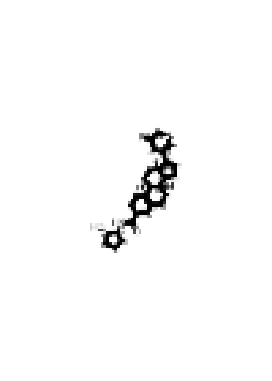 C[C@]12CC[C@@H]3c4ccc(C(=O)N[C@H]5CCC[C@@H]5O)cc4CC[C@H]3[C@@H]1CC=C2c1cncc(F)c1